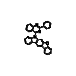 c1ccc(-c2nc(-n3c4ccccc4c4cc5c(cc43)oc3ccccc35)c3ccccc3n2)cc1